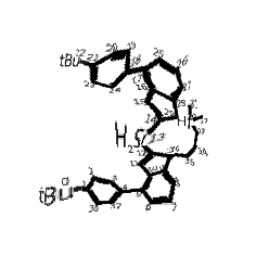 CC(C)(C)c1ccc(-c2cccc3c2C=C2[SiH2]C4=Cc5c(-c6ccc(C(C)(C)C)cc6)cccc5[CH]4[Hf]([CH3])([CH3])[CH2]CCC23)cc1